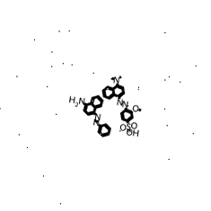 COc1cc(S(=O)(=O)O)ccc1N=Nc1ccc(N(C)C)c2ccccc12.Nc1ccc(N=Nc2ccccc2)c2ccccc12